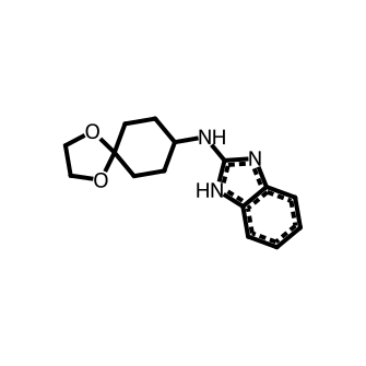 c1ccc2[nH]c(NC3CCC4(CC3)OCCO4)nc2c1